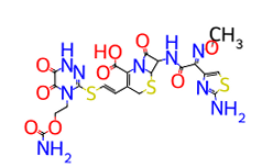 CON=C(C(=O)NC1C(=O)N2C(C(=O)O)=C(C=CSc3n[nH]c(=O)c(=O)n3CCOC(N)=O)CSC12)c1csc(N)n1